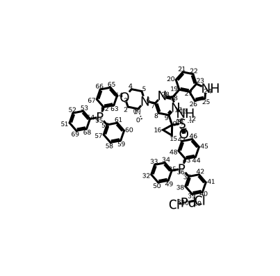 C[C@@H]1COCCN1c1cc(C2([S@@](C)(=N)=O)CC2)nc(-c2cccc3[nH]ccc23)n1.[Cl][Pd][Cl].c1ccc(P(c2ccccc2)c2ccccc2)cc1.c1ccc(P(c2ccccc2)c2ccccc2)cc1